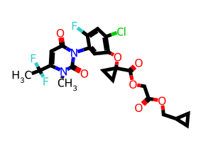 Cn1c(C(C)(F)F)cc(=O)n(-c2cc(OC3(C(=O)OCC(=O)OCC4CC4)CC3)c(Cl)cc2F)c1=O